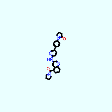 O=C(c1cccc2ncc(Nc3ccc(-c4ccc(N5CCCC5=O)cc4)cn3)cc12)N1CCCC1